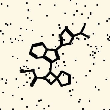 CC(C)(C)OC(=O)N1CC2(CC=CC2)C1c1nc(-c2nnc(C(F)F)s2)n2ccccc12